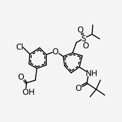 CC(C)S(=O)(=O)Cc1cc(NC(=O)C(C)(C)C)ccc1Oc1cc(Cl)cc(CC(=O)O)c1